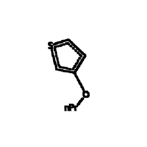 CCCOc1ccsc1